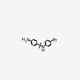 CC(C)c1ccc(NC(C)(C)c2ccc(N)cc2)cc1